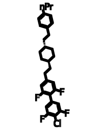 CCCc1ccc(CC[C@H]2CC[C@H](CCc3cc(F)c(-c4cc(F)c(Cl)c(F)c4)c(F)c3)CC2)cc1